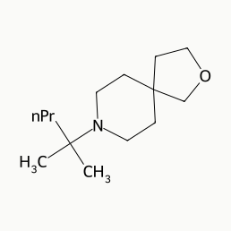 CCCC(C)(C)N1CCC2(CCOC2)CC1